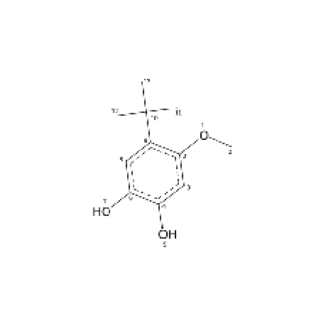 COc1cc(O)c(O)cc1C(C)(C)C